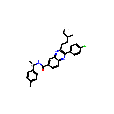 Cc1ccc([C@@H](C)NC(=O)c2ccc3nc(-c4ccc(Cl)cc4)c(CCC(C)CC(=O)O)nc3c2)cc1